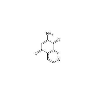 NC1=CC(=O)c2ccncc2C1=O